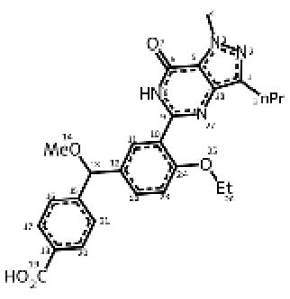 CCCc1nn(C)c2c(=O)[nH]c(-c3cc(C(OC)c4ccc(C(=O)O)cc4)ccc3OCC)nc12